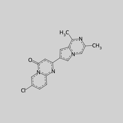 Cc1cn2cc(-c3cc(=O)n4cc(Cl)ccc4n3)cc2c(C)n1